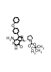 CC(C)(C)OC(=O)N1CCC[C@H]1Cn1nc(-c2ccc(Oc3ccccc3)cc2)c2c(N)n[nH]c(=O)c21